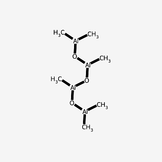 [CH3][Al]([CH3])[O][Al]([CH3])[O][Al]([CH3])[O][Al]([CH3])[CH3]